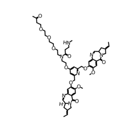 C/C=C1\CC2C=Nc3cc(OCc4cc(OCCN(CCOCCOCCOCCC(C)=O)C(=O)CCNC)cc(COc5cc6c(cc5OC)C(=O)N5C/C(=C/C)C[C@H]5C=N6)n4)c(OC)cc3C(=O)N2C1